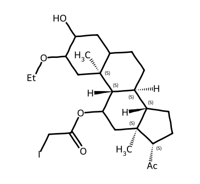 CCOC1C[C@@]2(C)C(CC[C@H]3[C@@H]4CC[C@H](C(C)=O)[C@@]4(C)CC(OC(=O)CI)[C@@H]32)CC1O